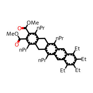 CCCc1c2c(c(CCC)c(C(=O)OC)c1C(=O)OC)Cc1c(c(CCC)c3cc4c(CC)c(CC)c(CC)c(CC)c4cc3c1CCC)C2